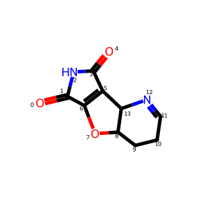 O=C1NC(=O)C2=C1OC1CCC=NC21